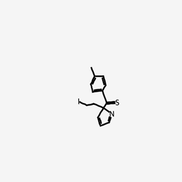 Cc1ccc(C(=S)C2(CCI)C=CC=N2)cc1